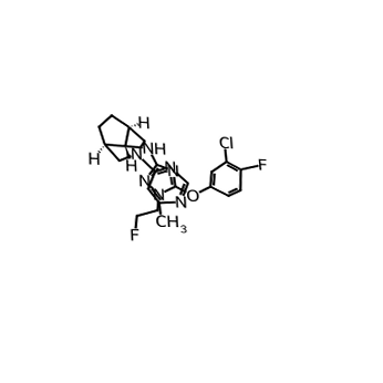 Cc1cc(N2C[C@H]3CC[C@@H](C2)[C@@H]3Nc2nc(Oc3ccc(F)c(Cl)c3)n(CCF)n2)ncn1